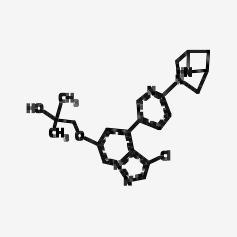 CC(C)(O)COc1cc(-c2ccc(N3CC4CC(C3)N4)nc2)c2c(Cl)cnn2c1